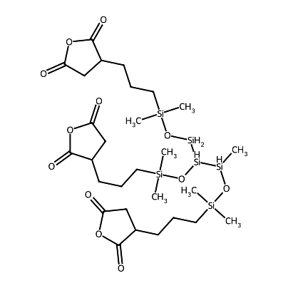 C[SiH](O[Si](C)(C)CCCC1CC(=O)OC1=O)[SiH](O[Si](C)(C)CCCC1CC(=O)OC1=O)[SiH2]O[Si](C)(C)CCCC1CC(=O)OC1=O